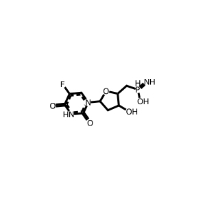 N=[PH](O)CC1OC(n2cc(F)c(=O)[nH]c2=O)CC1O